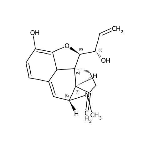 C=C[C@H](O)[C@@H]1OC2=C(O)C=CC3=C[C@@H]4[C@H](C=C)[C@@]1(CCN4C)C32